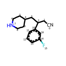 N#CCC(CC1CCNCC1)c1cccc(F)c1